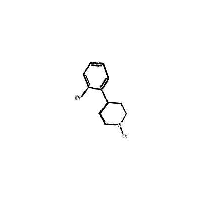 CCN1CCC(c2ccccc2C(C)C)CC1